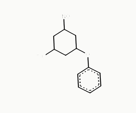 O=[N+]([O-])C1CC(Oc2ccccc2)CC(C(F)(F)F)C1